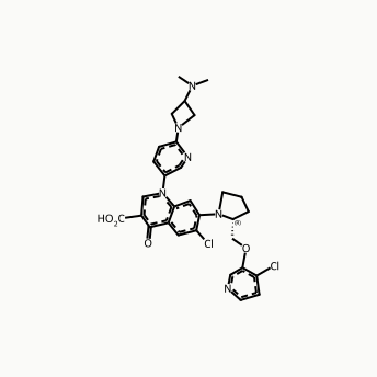 CN(C)C1CN(c2ccc(-n3cc(C(=O)O)c(=O)c4cc(Cl)c(N5CCC[C@@H]5COc5cnccc5Cl)cc43)cn2)C1